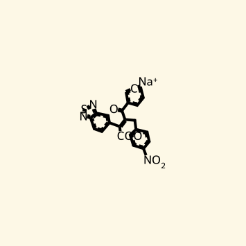 O=C([O-])C(=C(Cc1ccc([N+](=O)[O-])cc1)C(=O)c1ccccc1)c1ccc2nsnc2c1.[Na+]